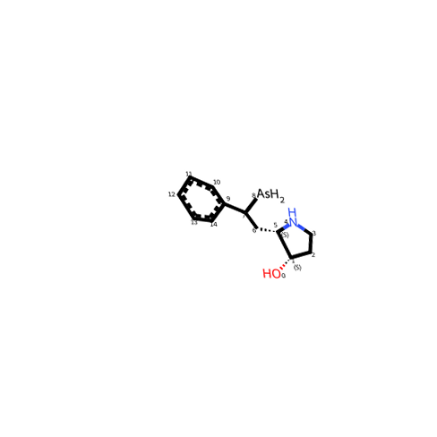 O[C@H]1CCN[C@H]1CC([AsH2])c1ccccc1